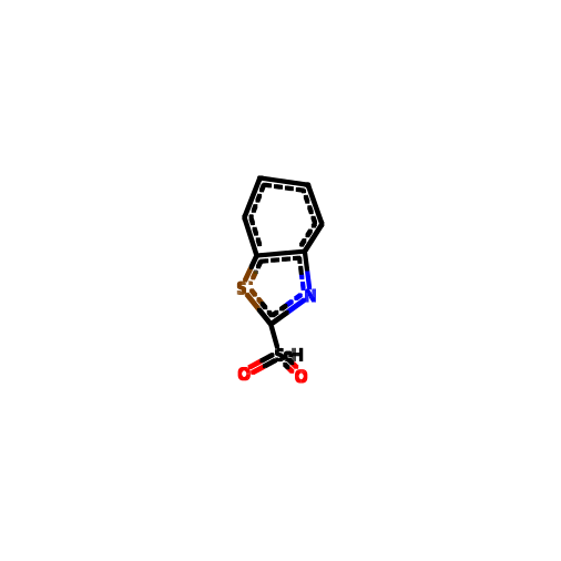 O=[SeH](=O)c1nc2ccccc2s1